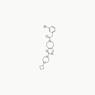 O=C(Cc1cccc(Br)c1)N1CCc2cnc(N3CCN(C4CCC4)CC3)nc2CC1